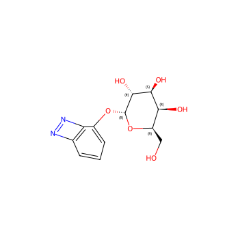 OC[C@H]1O[C@H](Oc2cccc3c2N=N3)[C@H](O)[C@@H](O)[C@H]1O